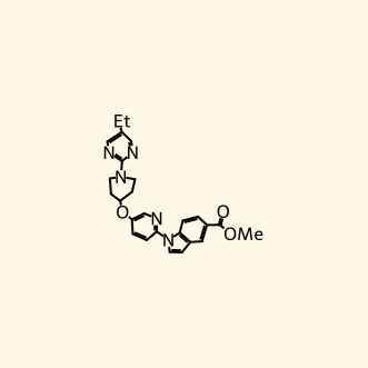 CCc1cnc(N2CCC(Oc3ccc(-n4ccc5cc(C(=O)OC)ccc54)nc3)CC2)nc1